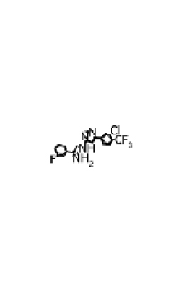 N[C@H](CNc1cc(-c2ccc(C(F)(F)F)c(Cl)c2)ncn1)c1cccc(F)c1